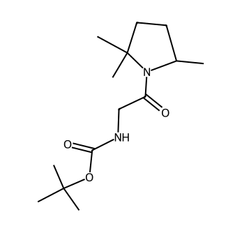 CC1CCC(C)(C)N1C(=O)CNC(=O)OC(C)(C)C